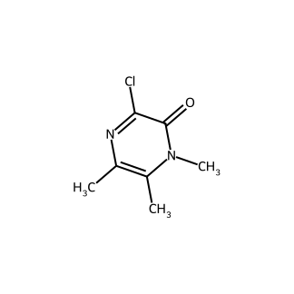 Cc1nc(Cl)c(=O)n(C)c1C